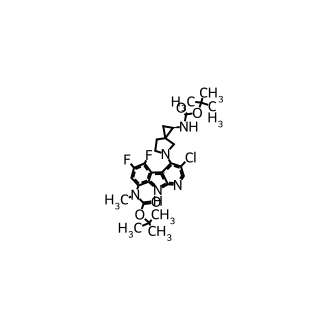 CN(C(=O)OC(C)(C)C)c1cc(F)c(F)c2c1[nH]c1ncc(Cl)c(N3CCC4(C[C@H]4NC(=O)OC(C)(C)C)C3)c12